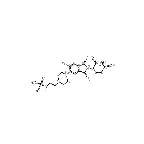 CS(=O)(=O)OCCN1CCN(c2cc3c(cc2F)C(=O)N(C2CCC(=O)NC2=O)C3=O)CC1